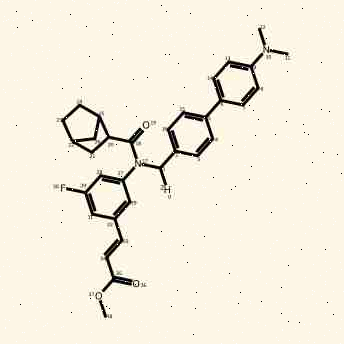 [2H]C(c1ccc(-c2ccc(N(C)C)cc2)cc1)N(C(=O)C1CC2CCC1C2)c1cc(F)cc(/C=C/C(=O)OC)c1